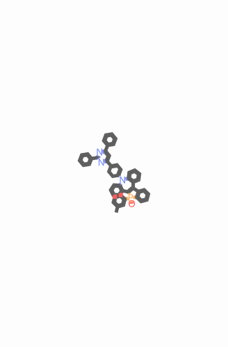 Cc1cccc(P2(=O)C3=C(c4ccccc4N(C4=CC=C(c5cc(-c6ccccc6)nc(-c6ccccc6)n5)CC4)c4ccccc43)c3ccccc32)c1